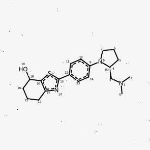 CN(C)C[C@@H]1CCCN1c1ccc(-c2nc3c(s2)C(O)CCC3)cc1